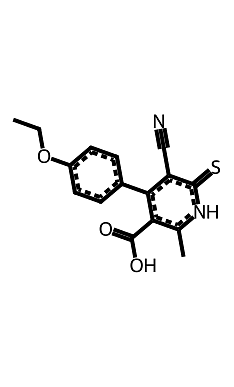 CCOc1ccc(-c2c(C(=O)O)c(C)[nH]c(=S)c2C#N)cc1